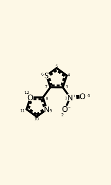 O=[N+]([O-])c1ccsc1-c1ncco1